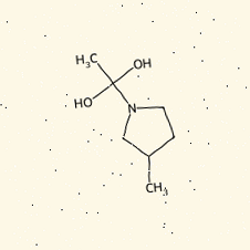 CC1CCN(C(C)(O)O)C1